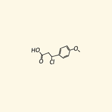 COc1ccc(C(Cl)CC(=O)O)cc1